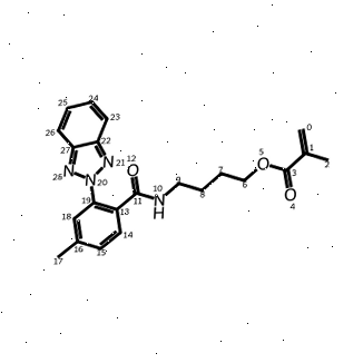 C=C(C)C(=O)OCCCCNC(=O)c1ccc(C)cc1-n1nc2ccccc2n1